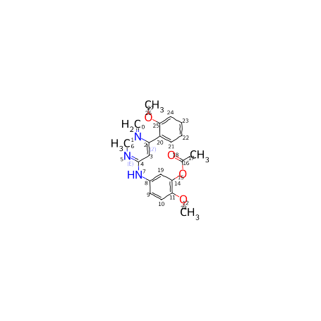 C=N/C(=C\C(=N/C)Nc1ccc(OC)c(OC(C)=O)c1)c1ccccc1OC